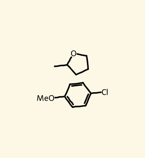 CC1CCCO1.COc1ccc(Cl)cc1